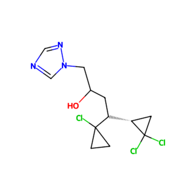 OC(CC([C@@H]1CC1(Cl)Cl)C1(Cl)CC1)Cn1cncn1